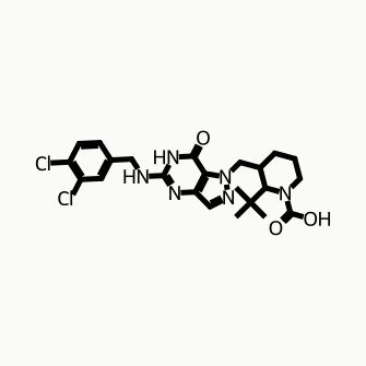 CC(C)(C)C1C(Cn2ncc3nc(NCc4ccc(Cl)c(Cl)c4)[nH]c(=O)c32)CCCN1C(=O)O